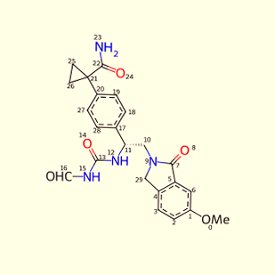 COc1ccc2c(c1)C(=O)N(C[C@H](NC(=O)NC=O)c1ccc(C3(C(N)=O)CC3)cc1)C2